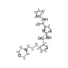 O=C(Nc1nccs1)c1csc(NC(=O)c2sccc2CCCN2CCOCC2)n1